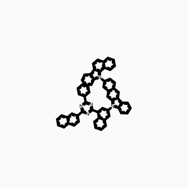 c1ccc(-c2nc(-c3ccc4ccccc4c3)nc(-c3cc(-n4c5ccccc5c5cc6ccc(-n7c8ccccc8c8ccc9ccccc9c87)cc6cc54)cc4ccccc34)n2)cc1